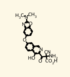 CN(C)c1nc2cc(Oc3ccc4c(O)c(C(=O)C(N)(C#N)C(=O)O)ncc4c3)ccc2o1